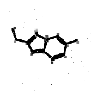 CCc1cc2ncc(C)cn2n1